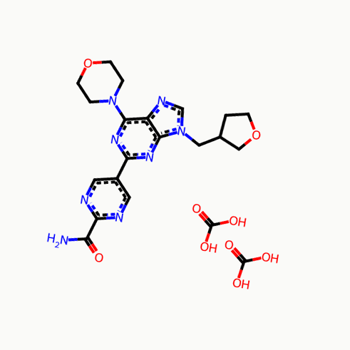 NC(=O)c1ncc(-c2nc(N3CCOCC3)c3ncn(CC4CCOC4)c3n2)cn1.O=C(O)O.O=C(O)O